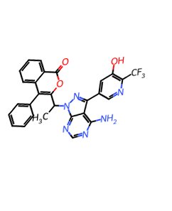 CC(c1oc(=O)c2ccccc2c1-c1ccccc1)n1nc(-c2cnc(C(F)(F)F)c(O)c2)c2c(N)ncnc21